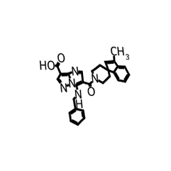 CC1=CC2(CCN(C(=O)c3cnc4c(C(=O)O)cnn4c3NCc3ccccc3)CC2)c2ccccc21